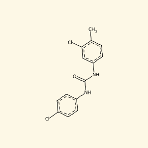 Cc1ccc(NC(=O)Nc2ccc(Cl)cc2)cc1Cl